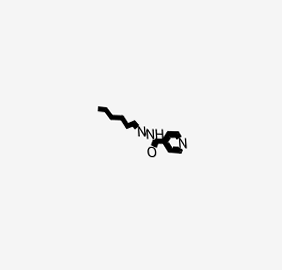 CCCCCC=NNC(=O)c1ccncc1